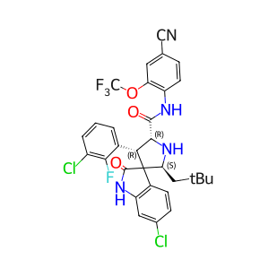 CC(C)(C)C[C@@H]1N[C@@H](C(=O)Nc2ccc(C#N)cc2OC(F)(F)F)[C@@H](c2cccc(Cl)c2F)C12C(=O)Nc1cc(Cl)ccc12